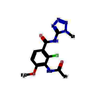 CCn1nnnc1NC(=O)c1ccc(OC(F)(F)F)c(NC(=O)C(C)C)c1Cl